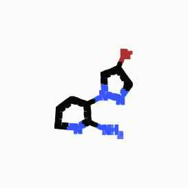 Nc1ncccc1-n1cc(Br)cn1